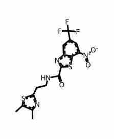 Cc1nc(CCNC(=O)c2nc3cc(C(F)(F)F)cc([N+](=O)[O-])c3s2)sc1C